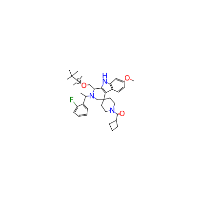 COc1ccc2c3c([nH]c2c1)C(CO[Si](C)(C)C(C)(C)C)N(C(C)c1ccccc1F)CC31CCN(C(=O)C2CCC2)CC1